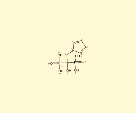 O=P(O)(O)C(O)(Cn1cccn1)P(=O)(O)O